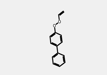 C=COOc1ccc(-c2ccccc2)cc1